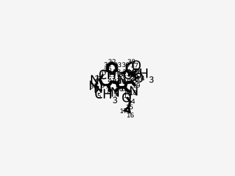 Cc1nnn(C)c1-c1cnc2c3c(OCC4CC4)ncc(S(C)(=O)=O)c3n([C@H](c3ccccc3)C3CCOCC3)c2c1